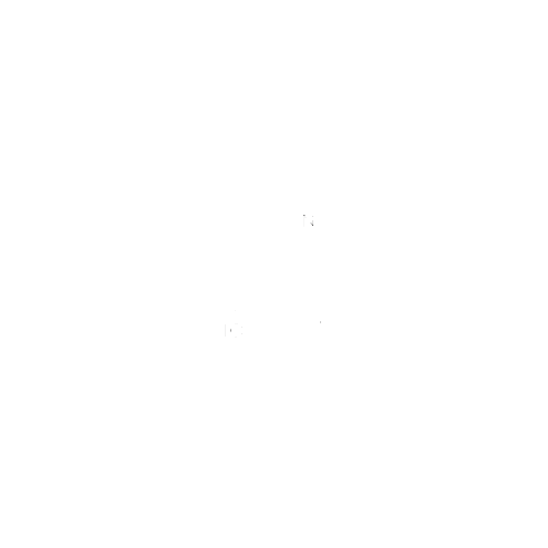 [N]CC(=O)O